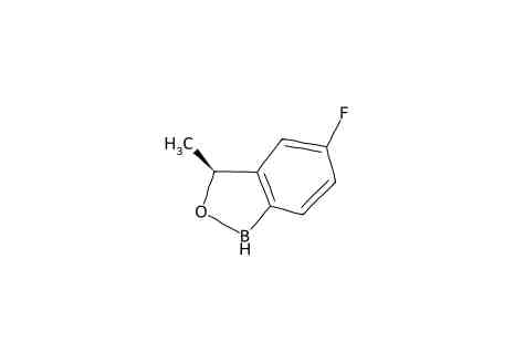 C[C@@H]1OBc2ccc(F)cc21